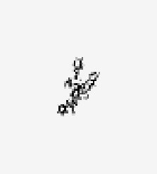 CC(C)N[C@H](CCCCN1CCCCC1)C(=O)N1CCN(C2=N[C@@H](C)[C@H](c3ccccc3)O2)C[C@H]1C(=O)NCc1cc2cnccc2s1